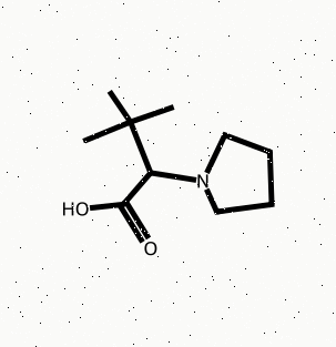 CC(C)(C)C(C(=O)O)N1CCCC1